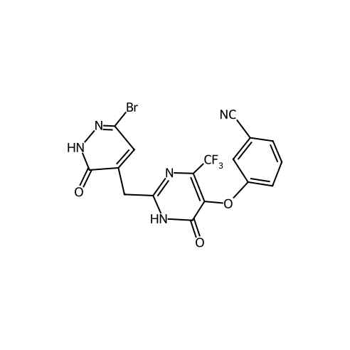 N#Cc1cccc(Oc2c(C(F)(F)F)nc(Cc3cc(Br)n[nH]c3=O)[nH]c2=O)c1